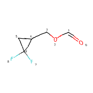 O=COCC1CC1(F)F